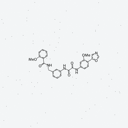 COc1ccccc1C(=O)NCc1cccc(NC(=O)C(=O)Nc2ccc(-c3cnco3)c(OC)c2)c1